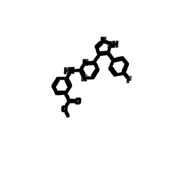 COC(=O)c1cccc(Nc2nccc(-c3cn[nH]c3-c3ccc(F)cc3)n2)c1